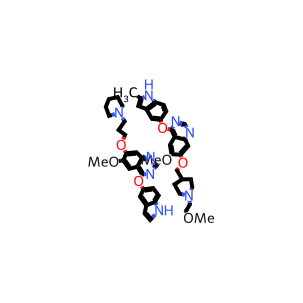 COCCN1CCC(COc2cc3ncnc(Oc4ccc5[nH]c(C)cc5c4)c3cc2OC)CC1.COc1cc2c(Oc3ccc4[nH]ccc4c3)ncnc2cc1OCCCN1CCCCC1